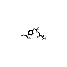 CCCN(CCC)c1ccc(OC(=O)OCC(=O)NO)cc1